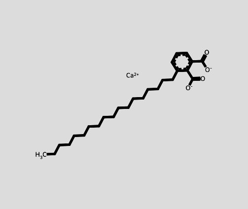 CCCCCCCCCCCCCCCCCCc1cccc(C(=O)[O-])c1C(=O)[O-].[Ca+2]